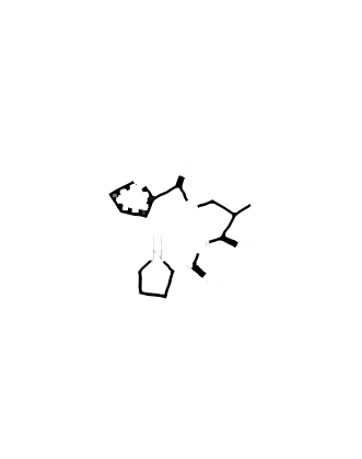 CC(CSC(=S)c1cccs1)C(=O)OC(=O)[C@@H]1CCCN1